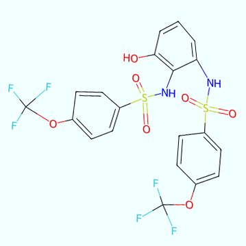 O=S(=O)(Nc1cccc(O)c1NS(=O)(=O)c1ccc(OC(F)(F)F)cc1)c1ccc(OC(F)(F)F)cc1